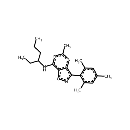 CCCC(CC)Nc1nc(C)nc2c(-c3c(C)cc(C)cc3C)noc12